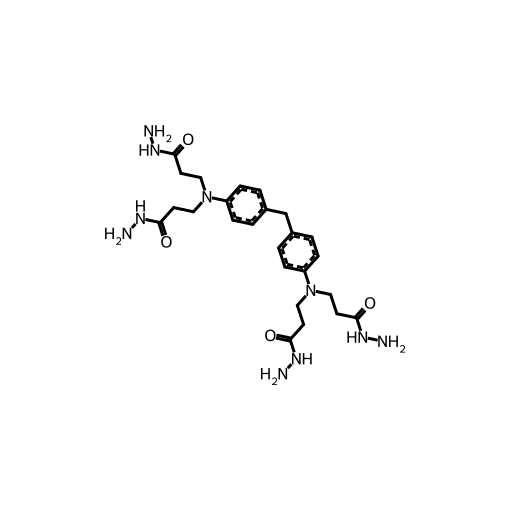 NNC(=O)CCN(CCC(=O)NN)c1ccc(Cc2ccc(N(CCC(=O)NN)CCC(=O)NN)cc2)cc1